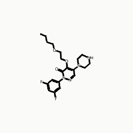 CCCCOCCOc1c(N2CCNCC2)cnn(-c2cc(F)cc(F)c2)c1=O